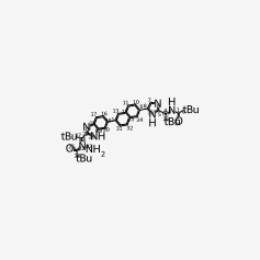 CC(C)(C)C(=O)N[C@H](c1ncc(-c2ccc3cc(-c4ccc5nc([C@@H](N(N)C(=O)C(C)(C)C)C(C)(C)C)[nH]c5c4)ccc3c2)[nH]1)C(C)(C)C